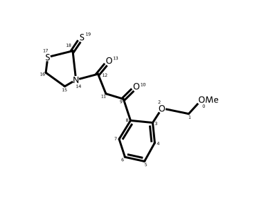 COCOc1ccccc1C(=O)CC(=O)N1CCSC1=S